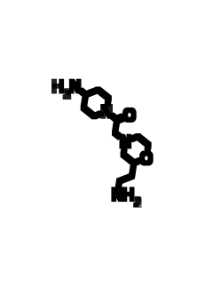 NCCC1CN(CC(=O)N2CCC(N)CC2)CCO1